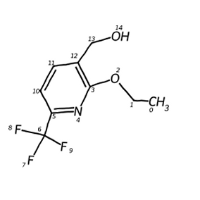 CCOc1nc(C(F)(F)F)ccc1CO